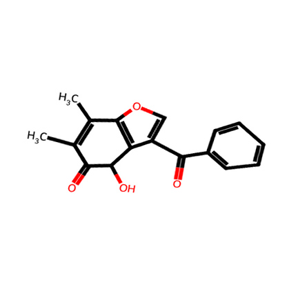 CC1=C(C)c2occ(C(=O)c3ccccc3)c2C(O)C1=O